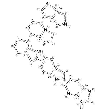 c1ccc2[nH]ncc2c1.c1ccn2cccc2c1.c1ccn2ccnc2c1.c1ccn2cncc2c1.c1ncc2nc[nH]c2n1